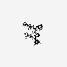 COC(=O)NCCO[C@@H](c1cc(F)cc(Cl)c1)[C@@H]1CCCN(C(=O)N[C@H](CC2CCCOC2)CN(C)C(=O)OCC[Si](C)(C)C)C1